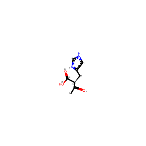 CC(=O)[C@H](Cc1c[nH]cn1)C(=O)O